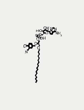 CCCCCCCCCCCCCCCCCCOC[C@H](COP(=O)(O)OC[C@H]1O[C@@](C)(c2ccc3c(N)ncnn23)[C@H](O)[C@@H]1O)OCc1ccc(Cl)c(C#N)c1